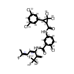 C=C(/C(=C\C=C(/C)F)NC(=O)c1cc(NC(=O)C2C(c3cc(Cl)cc(Cl)c3)C2(Cl)Cl)ccc1Cl)C(F)(F)F